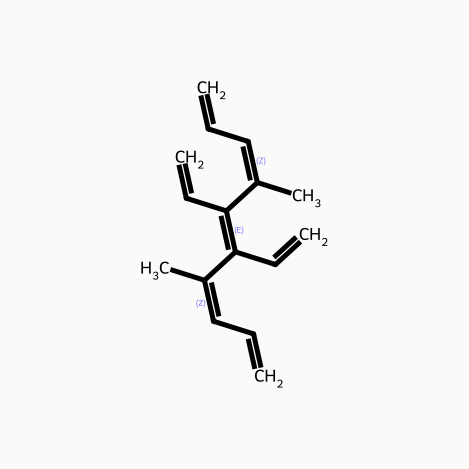 C=C\C=C(C)/C(C=C)=C(C=C)/C(C)=C\C=C